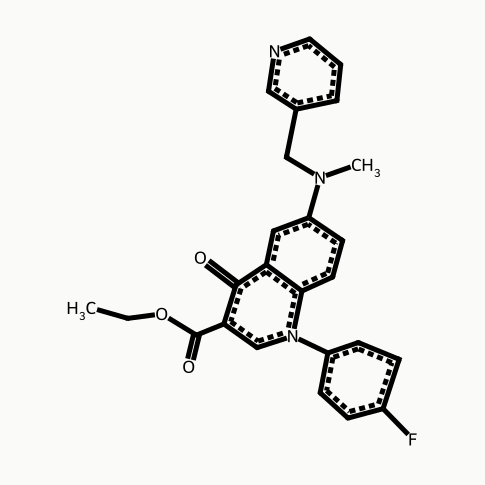 CCOC(=O)c1cn(-c2ccc(F)cc2)c2ccc(N(C)Cc3cccnc3)cc2c1=O